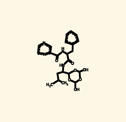 CC(C)CC(NC(=O)C(Cc1ccccc1)NC(=O)c1cnccn1)C1OC(O)OC(O)O1